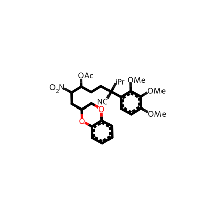 COc1ccc(C(C#N)(CCC(OC(C)=O)C(CC2COc3ccccc3O2)[N+](=O)[O-])C(C)C)c(OC)c1OC